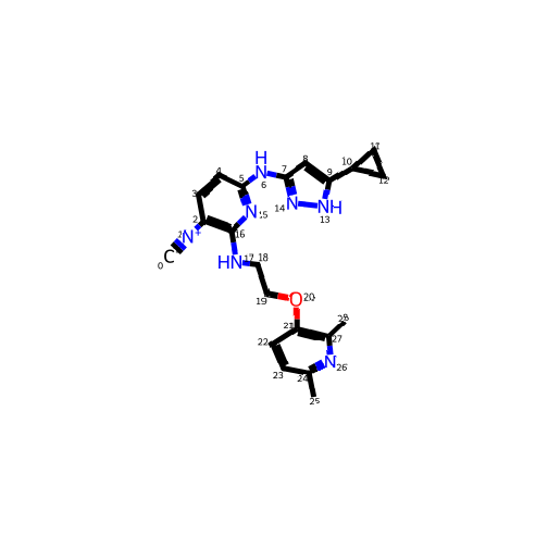 [C-]#[N+]c1ccc(Nc2cc(C3CC3)[nH]n2)nc1NCCOc1ccc(C)nc1C